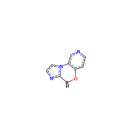 B1Oc2ccncc2-n2ccnc21